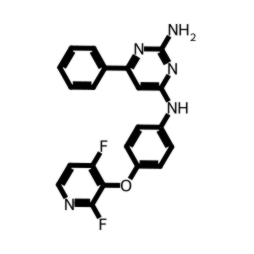 Nc1nc(Nc2ccc(Oc3c(F)ccnc3F)cc2)cc(-c2ccccc2)n1